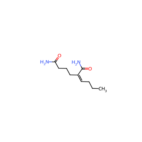 CCCC=C(CCCC(N)=O)C(N)=O